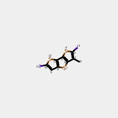 Cc1c(I)sc2c1sc1cc(I)sc12